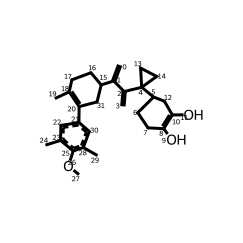 C=C(C(=C)C1(C2CCC(O)=C(O)C2)CC1)C1CCC(C)=C(c2cc(C)c(OC)c(C)c2)C1